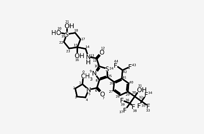 CC1CCCN1C(=O)c1nc(C(=O)NCC2(O)CCS(O)(O)CC2)sc1-c1ccc(C(O)(C(F)(F)F)C(F)(F)F)cc1C(F)F